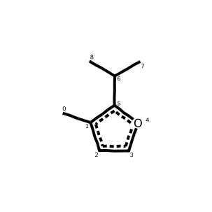 Cc1ccoc1C(C)C